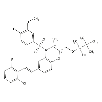 COc1cc(S(=O)(=O)N2c3cc(C=Cc4c(F)cccc4Cl)ccc3O[C@@H](CO[Si](C)(C)C(C)(C)C)[C@H]2C)ccc1F